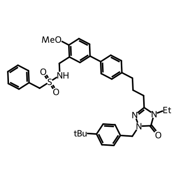 CCn1c(CCCc2ccc(-c3ccc(OC)c(CNS(=O)(=O)Cc4ccccc4)c3)cc2)nn(Cc2ccc(C(C)(C)C)cc2)c1=O